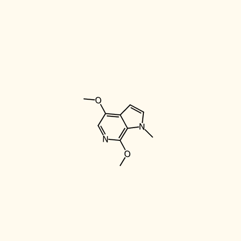 COc1cnc(OC)c2c1ccn2C